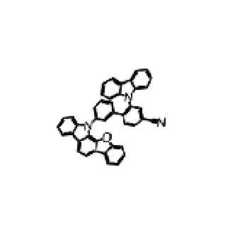 N#Cc1ccc(-c2cccc(-n3c4ccccc4c4ccc5c6ccccc6oc5c43)c2)c(-n2c3ccccc3c3ccccc32)c1